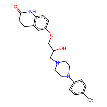 CCc1ccc(N2CCN(CC(O)COc3ccc4c(c3)CCC(=O)N4)CC2)cc1